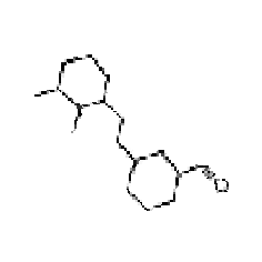 CC1CCCC(CCC2CCCC(C=O)C2)C1C